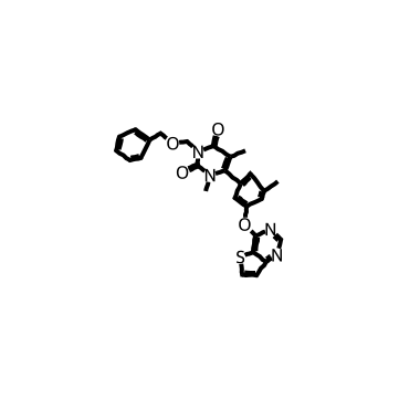 Cc1cc(Oc2ncnc3ccsc23)cc(-c2c(C)c(=O)n(COCc3ccccc3)c(=O)n2C)c1